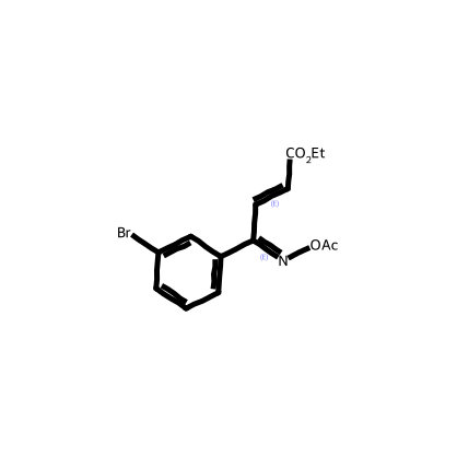 CCOC(=O)/C=C/C(=N\OC(C)=O)c1cccc(Br)c1